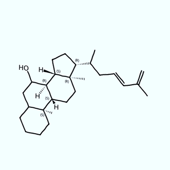 C=C(C)C=CCC(C)[C@H]1CC[C@H]2[C@@H]3C(O)CC4CCCC[C@]4(C)[C@H]3CC[C@]12C